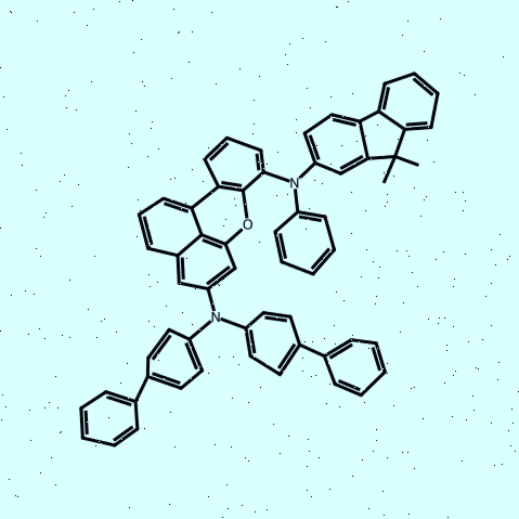 CC1(C)c2ccccc2-c2ccc(N(c3ccccc3)c3cccc4c3Oc3cc(N(c5ccc(-c6ccccc6)cc5)c5ccc(-c6ccccc6)cc5)cc5cccc-4c35)cc21